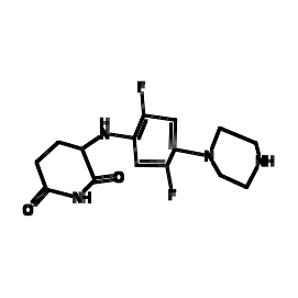 O=C1CCC(Nc2cc(F)c(N3CCNCC3)cc2F)C(=O)N1